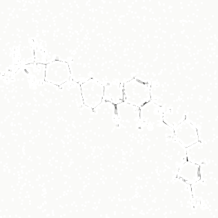 CC1=CCC([C@@H]2CCC[C@H](CNc3ncnc(C(=O)N4CCC(N5CCC(N(C)S(C)(=O)=O)CC5)CC4)c3C)O2)C=C1